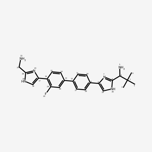 CC(C)(C)C(N)c1nc(-c2ccc(-c3ccc(-c4c[nH]c(CN)n4)c(F)c3)cc2)c[nH]1